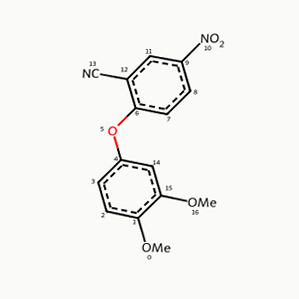 COc1ccc(Oc2ccc([N+](=O)[O-])cc2C#N)cc1OC